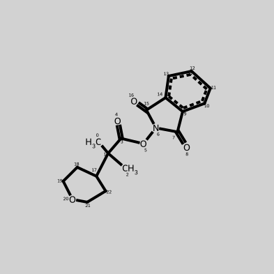 CC(C)(C(=O)ON1C(=O)c2ccccc2C1=O)C1CCOCC1